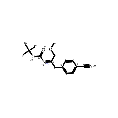 COC/C(Cc1ccc(C#N)cc1)=N\C(=O)OC(C)(C)C